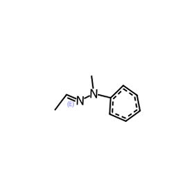 C/C=N/N(C)c1ccccc1